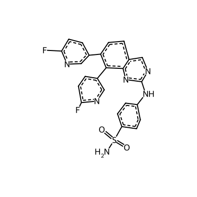 NS(=O)(=O)c1ccc(Nc2ncc3ccc(-c4ccc(F)nc4)c(-c4ccc(F)nc4)c3n2)cc1